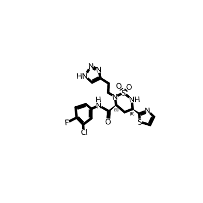 O=C(Nc1ccc(F)c(Cl)c1)[C@@H]1C[C@H](c2nccs2)NS(=O)(=O)N1CCc1c[nH]nn1